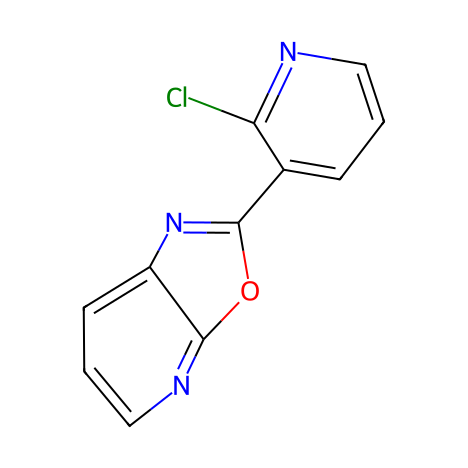 Clc1ncccc1-c1nc2cccnc2o1